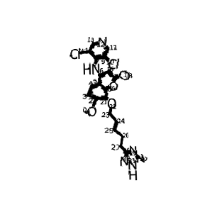 COc1ccc2c(Nc3c(Cl)cncc3Cl)cc(=O)oc2c1OCCCCCc1nn[nH]n1